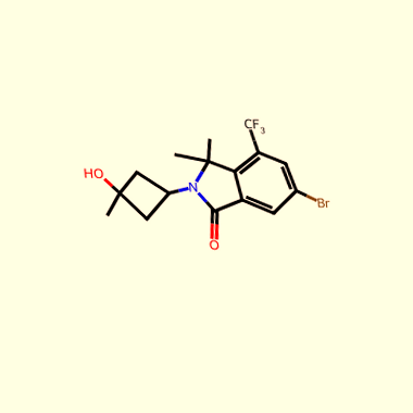 CC1(O)CC(N2C(=O)c3cc(Br)cc(C(F)(F)F)c3C2(C)C)C1